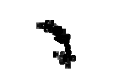 C[C@H]1C(=O)NC(=O)N1C/C=C/CCS(=O)(=O)NC1(c2cccc(OCC(C)(C)O)c2)CC1